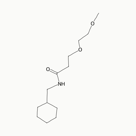 COCCOCCC(=O)NCC1CCCCC1